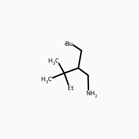 CCC(C)CC(CN)C(C)(C)CC